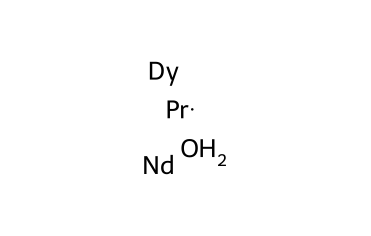 O.[Dy].[Nd].[Pr]